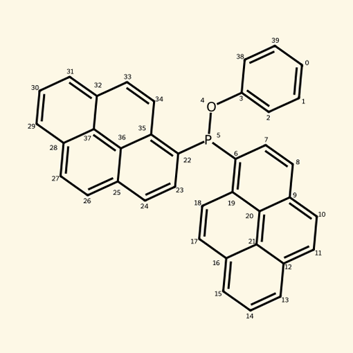 c1ccc(OP(c2ccc3ccc4cccc5ccc2c3c45)c2ccc3ccc4cccc5ccc2c3c45)cc1